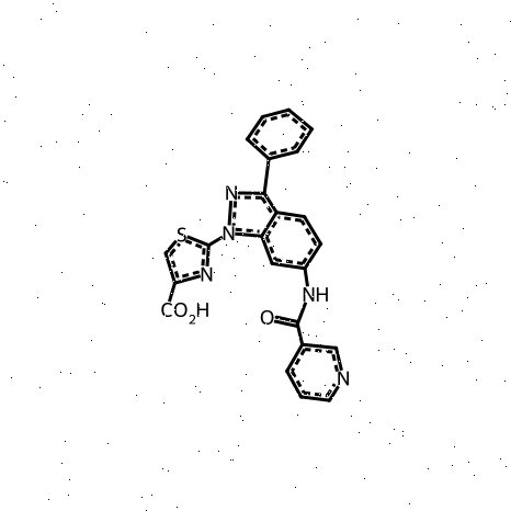 O=C(Nc1ccc2c(-c3ccccc3)nn(-c3nc(C(=O)O)cs3)c2c1)c1cccnc1